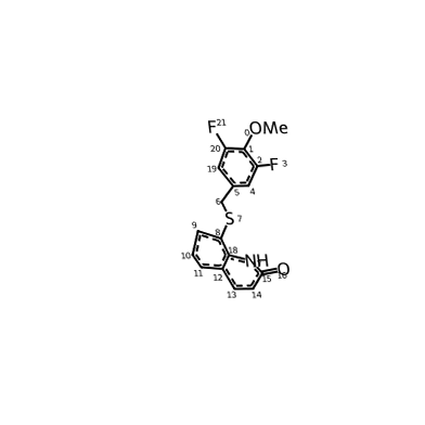 COc1c(F)cc(CSc2cccc3ccc(=O)[nH]c23)cc1F